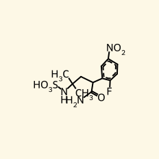 CC(C)(CC(C(N)=O)c1cc([N+](=O)[O-])ccc1F)NS(=O)(=O)O